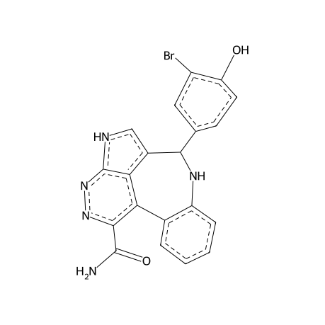 NC(=O)c1nnc2[nH]cc3c2c1-c1ccccc1NC3c1ccc(O)c(Br)c1